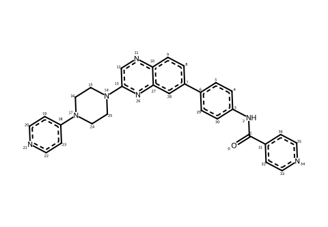 O=C(Nc1ccc(-c2ccc3ncc(N4CCN(c5ccncc5)CC4)nc3c2)cc1)c1ccncc1